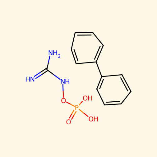 N=C(N)NOP(=O)(O)O.c1ccc(-c2ccccc2)cc1